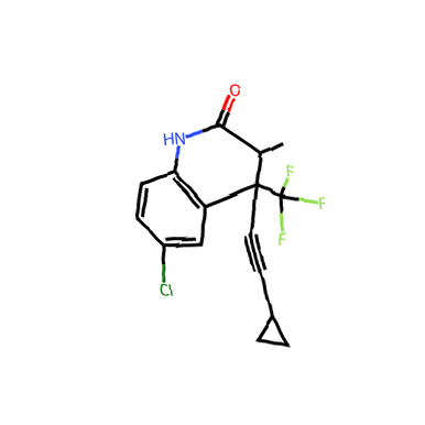 CC1C(=O)Nc2ccc(Cl)cc2C1(C#CC1CC1)C(F)(F)F